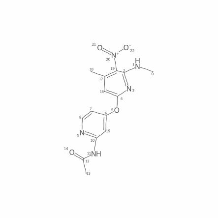 CNc1nc(Oc2ccnc(NC(C)=O)c2)cc(C)c1[N+](=O)[O-]